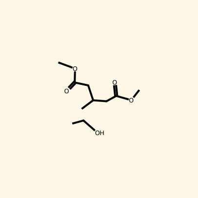 CCO.COC(=O)CC(C)CC(=O)OC